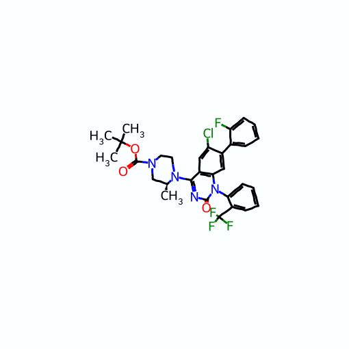 C[C@H]1CN(C(=O)OC(C)(C)C)CCN1c1nc(=O)n(-c2ccccc2C(F)(F)F)c2cc(-c3ccccc3F)c(Cl)cc12